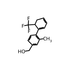 Cc1cc(CO)ccc1C1=CC=CCC1C(F)(F)F